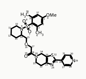 COc1cc(C)c(S(=O)(=O)N2CCCCC2COCC(=O)N2CCc3nc(-c4ccncc4)sc3C2)c(C)c1